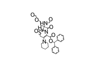 O=CNC1(CCOC=O)C(=O)N2C(C(=O)OC(c3ccccc3)c3ccccc3)=C(N3CCCCC3)C[S+]([O-])[C@H]21